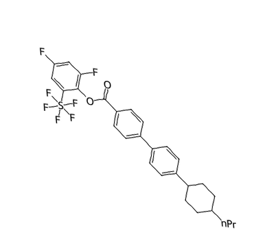 CCCC1CCC(c2ccc(-c3ccc(C(=O)Oc4c(F)cc(F)cc4S(F)(F)(F)(F)F)cc3)cc2)CC1